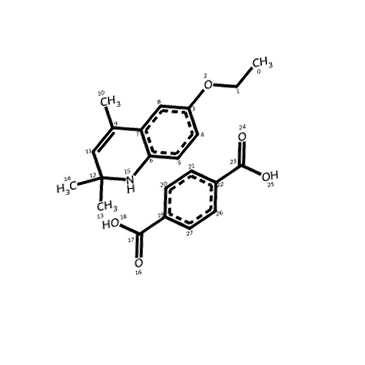 CCOc1ccc2c(c1)C(C)=CC(C)(C)N2.O=C(O)c1ccc(C(=O)O)cc1